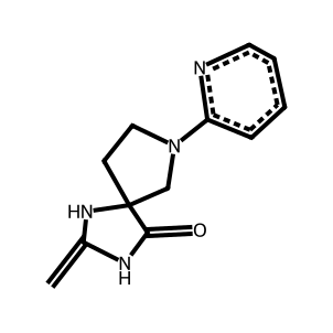 C=C1NC(=O)C2(CCN(c3ccccn3)C2)N1